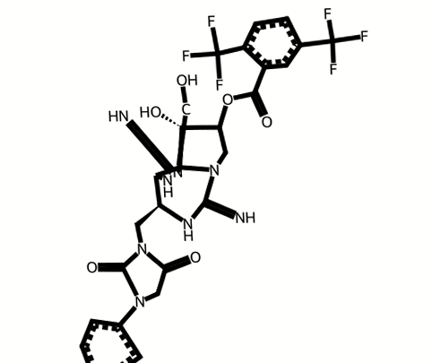 N=C1NC2[C@H](CN3C(=O)CN(c4ccccc4)C3=O)NC(=N)N3CC(OC(=O)c4cc(C(F)(F)F)ccc4C(F)(F)F)[C@@H](O)C23N1CO